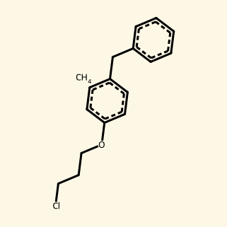 C.ClCCCOc1ccc(Cc2ccccc2)cc1